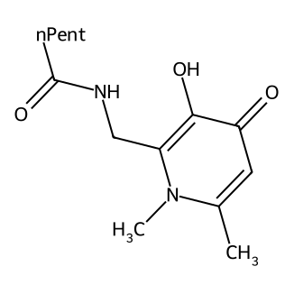 CCCCCC(=O)NCc1c(O)c(=O)cc(C)n1C